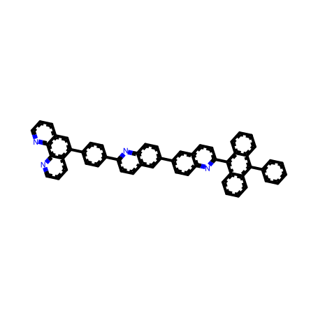 c1ccc(-c2c3ccccc3c(-c3ccc4cc(-c5ccc6nc(-c7ccc(-c8cc9cccnc9c9ncccc89)cc7)ccc6c5)ccc4n3)c3ccccc23)cc1